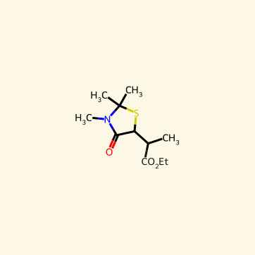 CCOC(=O)C(C)C1SC(C)(C)N(C)C1=O